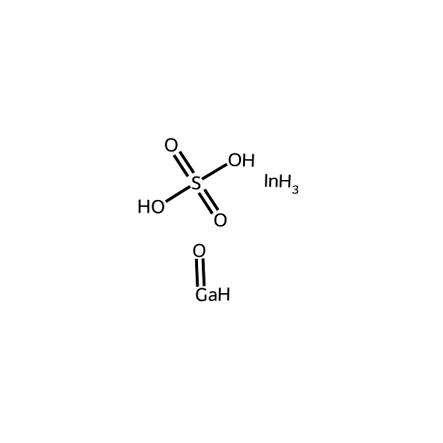 O=S(=O)(O)O.[InH3].[O]=[GaH]